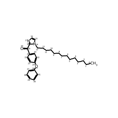 CCCCCCCCCCCCCCn1ccnc1C(=O)c1ccc(Oc2ccccc2)cc1